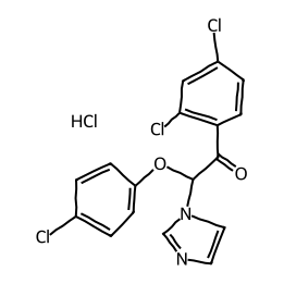 Cl.O=C(c1ccc(Cl)cc1Cl)C(Oc1ccc(Cl)cc1)n1ccnc1